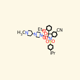 CCOc1ccccc1C1(OC(=O)N2CCN(C3CCN(C)CC3)CC2)C(=O)N(S(=O)(=O)c2ccc(C(C)C)cc2)c2ccc(C#N)cc21